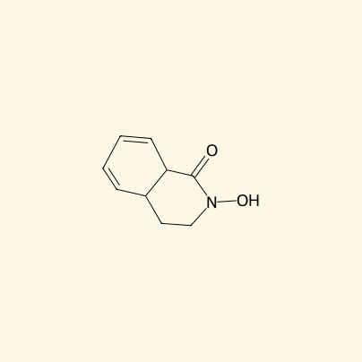 O=C1C2C=CC=CC2CCN1O